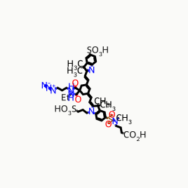 CCNC(=O)C1(C(=O)NCCCN=[N+]=[N-])CC(/C=C/C2=Nc3ccc(S(=O)(=O)O)cc3C2(C)C)=CC(=C/C=C2/N(CCCS(=O)(=O)O)c3ccc(S(=O)(=O)N(C)CCCC(=O)O)cc3C2(C)C)/C1